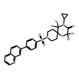 [2H]C1([2H])OC2(CCN(S(=O)(=O)c3ccc(-c4ccc5cccnc5c4)cc3)CC2)C([2H])([2H])N(C2CC2)C1=O